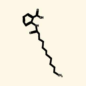 CCCCCCCCCCCC(=O)Nc1ccccc1C(=O)O